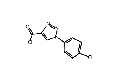 O=C(Cl)c1cn(-c2ccc(Cl)cc2)nn1